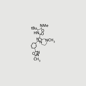 CNC(=O)C(NC(=O)c1nc(-c2cccc(-c3nnc(C)o3)c2)n2c1CN(C)CCC2)C(C)(C)C